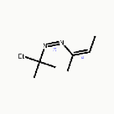 C/C=C(C)\N=N/C(C)(C)CC